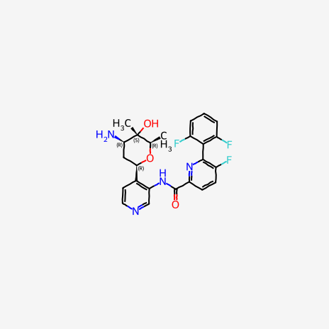 C[C@H]1O[C@@H](c2ccncc2NC(=O)c2ccc(F)c(-c3c(F)cccc3F)n2)C[C@@H](N)[C@]1(C)O